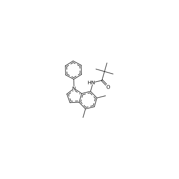 Cc1cc(C)c2ccn(-c3ccccc3)c2c1NC(=O)C(C)(C)C